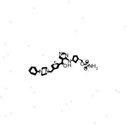 NS(=O)(=O)OC[C@@H]1CC[C@H](Nc2ncncc2C(=O)c2cc(CN3CCN(c4ccccc4)CC3)cs2)C1